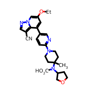 CCOc1cc(-c2ccc(N3CCC(C)(N(C(=O)O)C4CCOC4)CC3)nc2)c2c(C#N)cnn2c1